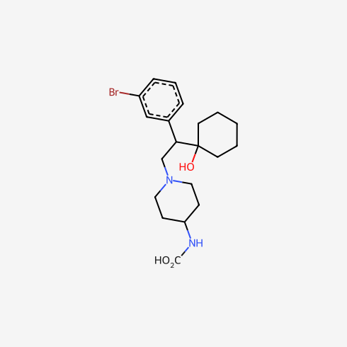 O=C(O)NC1CCN(CC(c2cccc(Br)c2)C2(O)CCCCC2)CC1